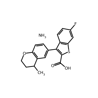 CC1CCOc2ccc(-c3c(C(=O)O)sc4cc(F)ccc34)cc21.N